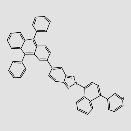 c1ccc(-c2c3ccccc3c(-c3ccccc3)c3cc(-c4ccc5nn(-c6ccc(-c7cccnc7)c7ccccc67)nc5c4)ccc23)cc1